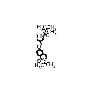 CC(C)N1CCc2cc(OCC(=CF)CNC(=O)OC(C)(C)C)ccc2C1=O